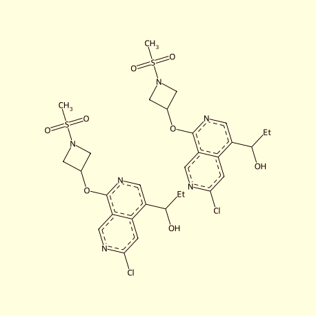 CCC(O)c1cnc(OC2CN(S(C)(=O)=O)C2)c2cnc(Cl)cc12.CCC(O)c1cnc(OC2CN(S(C)(=O)=O)C2)c2cnc(Cl)cc12